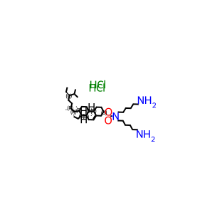 CC[C@H](CC[C@@H](C)[C@H]1CC[C@H]2[C@@H]3CC=C4C[C@@H](OC(=O)N(CCCCCCN)CCCCCCN)CC[C@]4(C)[C@H]3CC[C@]12C)C(C)C.Cl.Cl